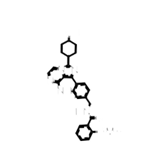 COc1ccccc1C(=O)NCc1ccc(-c2nc(C3CCC(C)CC3)n3ccnc(N)c23)cc1